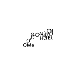 CCn1c(O)c(N=Nc2ccc(C(=O)OCCOCCOC)cc2)c(C)c(C#N)c1=O